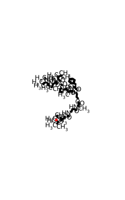 CC[C@H](C)C([C@@H](CC(=O)N1CCC[C@H]1[C@H](OC)[C@@H](C)C(=O)N[C@@H](Cc1ccccc1)C(=O)NCCCOC(=O)[C@H](C)NC(=O)CCNC(=O)OCC(OC(CO)C(C)C)OC(C)(C)C)OC)N(C)C(=O)C(NC(=O)C(NC)C(C)C)C(C)C